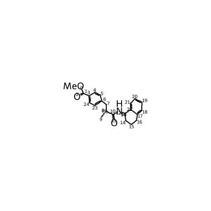 COC(=O)c1ccc(C[C@H](C)C(=O)N[C@@H]2CCCc3ccccc32)cc1